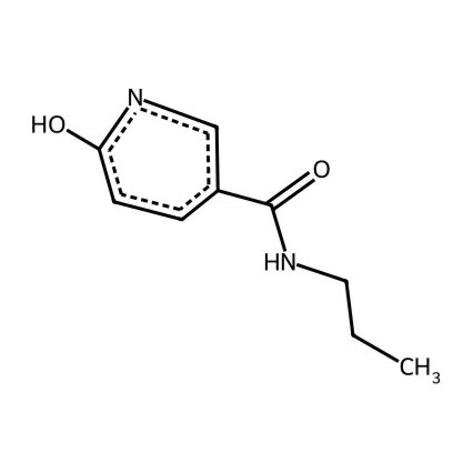 CCCNC(=O)c1ccc(O)nc1